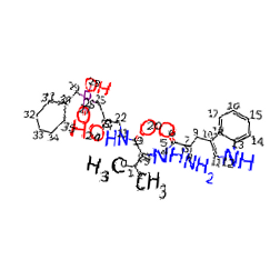 CC(C)[C@H](NC(=O)[C@@H](N)Cc1c[nH]c2ccccc12)C(=O)NC[C@H](O)CP(=O)(O)CC1CCCCC1